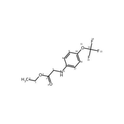 CCOC(=O)CNc1ccc(OC(F)(F)F)cc1